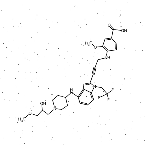 COCC(O)CN1CCC(Nc2cccc3c2cc(C#CCNc2ccc(C(=O)O)cc2OC)n3CC(F)(F)F)CC1